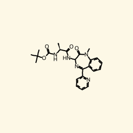 C[C@H](NC(=O)OC(C)(C)C)C(=O)NC1N=C(c2ccccn2)c2ccccc2N(C)C1=O